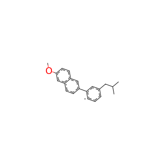 COc1ccc2cc(-c3[c]ccc(CC(C)C)c3)ccc2c1